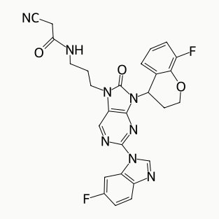 N#CCC(=O)NCCCn1c(=O)n(C2CCOc3c(F)cccc32)c2nc(-n3cnc4ccc(F)cc43)ncc21